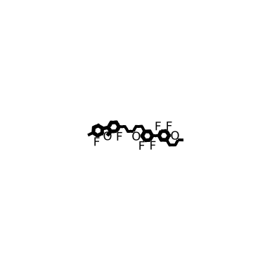 Cc1ccc2c(oc3c(F)c(CCC4CCc5cc(-c6cc7c(c(F)c6F)OC(C)CC7)c(F)c(F)c5O4)ccc32)c1F